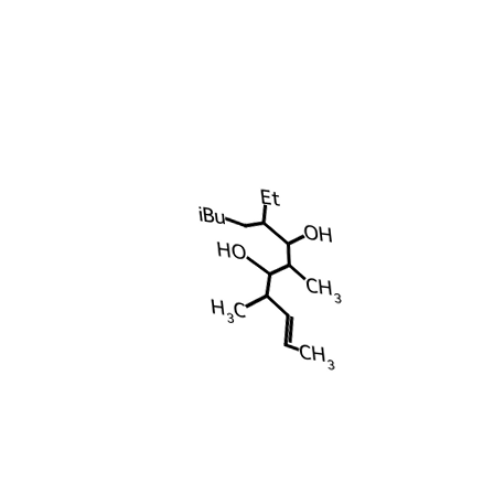 CC=CC(C)C(O)C(C)C(O)C(CC)CC(C)CC